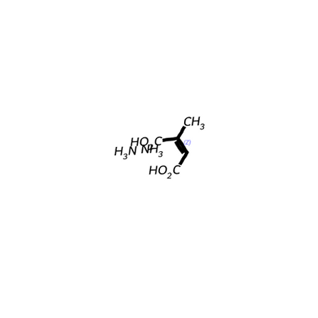 C/C(=C/C(=O)O)C(=O)O.N.N